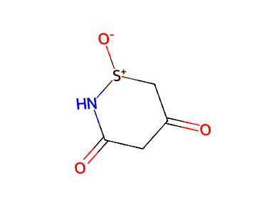 O=C1CC(=O)N[S+]([O-])C1